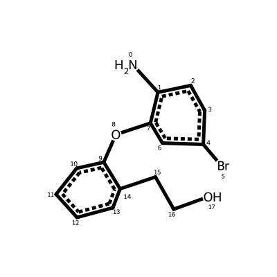 Nc1ccc(Br)cc1Oc1ccccc1CCO